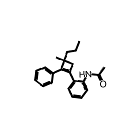 CCCC1(C)CC(c2ccccc2NC(C)=O)=C1c1ccccc1